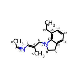 C/C=N\C=C(/C)CN1CCc2cccc(CC)c21